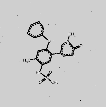 Cc1cc(Oc2ccccc2)c(-c2ccc(=O)n(C)c2)cc1NS(C)(=O)=O